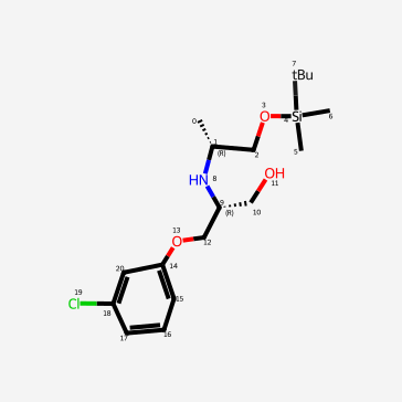 C[C@H](CO[Si](C)(C)C(C)(C)C)N[C@H](CO)COc1cccc(Cl)c1